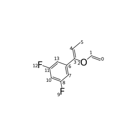 C=CO/C(=C\C)c1cc(F)cc(F)c1